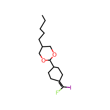 CCCCCC1COC(C2CCC(=C(F)I)CC2)OC1